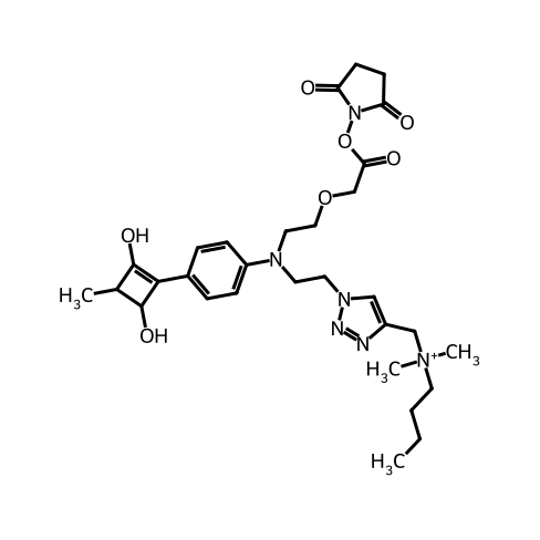 CCCC[N+](C)(C)Cc1cn(CCN(CCOCC(=O)ON2C(=O)CCC2=O)c2ccc(C3=C(O)C(C)C3O)cc2)nn1